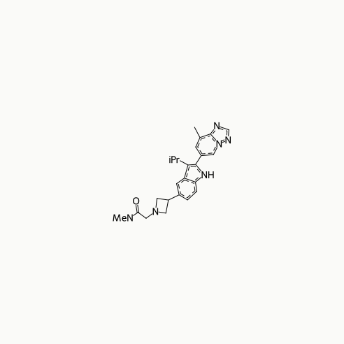 CNC(=O)CN1CC(c2ccc3[nH]c(-c4cc(C)c5ncnn5c4)c(C(C)C)c3c2)C1